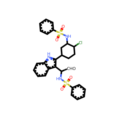 O=CC(NS(=O)(=O)c1ccccc1)c1c(C2CCC(Cl)C(NS(=O)(=O)c3ccccc3)C2)[nH]c2ccccc12